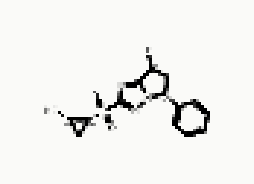 N#C[C@H]1C[C@H]1S(=O)(=O)c1nc2n(n1)[C@H](c1ccccc1)C[C@@H]2F